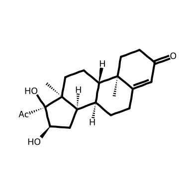 CC(=O)[C@@]1(O)[C@H](O)C[C@@H]2[C@@H]3CCC4=CC(=O)CC[C@]4(C)[C@H]3CC[C@@]21C